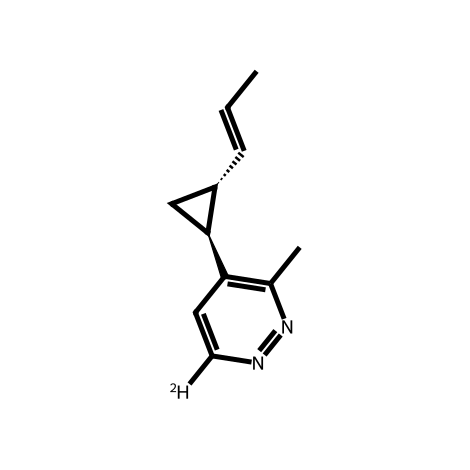 [2H]c1cc([C@H]2C[C@@H]2/C=C/C)c(C)nn1